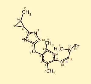 Cc1cc(Oc2nc(C3CC3C)ns2)c(C)cc1/N=C\N(C)C(C)C